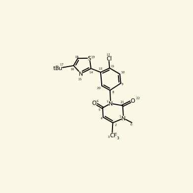 Cn1c(C(F)(F)F)cc(=O)n(-c2ccc(Cl)c(-c3nc(C(C)(C)C)cs3)c2)c1=O